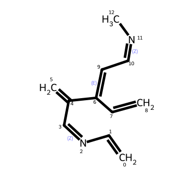 C=C/N=C\C(=C)/C(C=C)=C/C=N\C